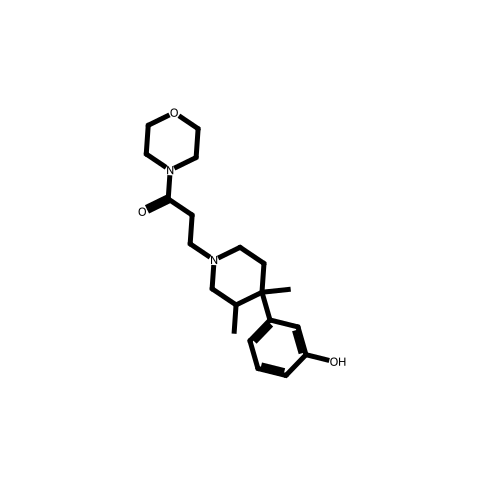 CC1CN(CCC(=O)N2CCOCC2)CCC1(C)c1cccc(O)c1